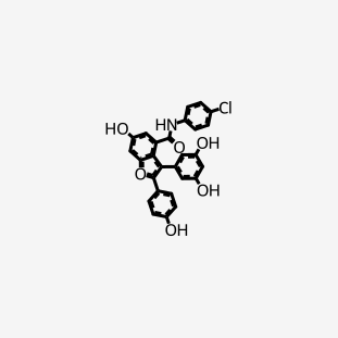 O=C(Nc1ccc(Cl)cc1)c1cc(O)cc2oc(-c3ccc(O)cc3)c(-c3cc(O)cc(O)c3)c12